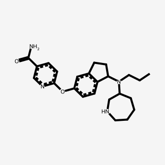 CCCN(C1CCCCNC1)C1CCc2cc(Oc3ccc(C(N)=O)cn3)ccc21